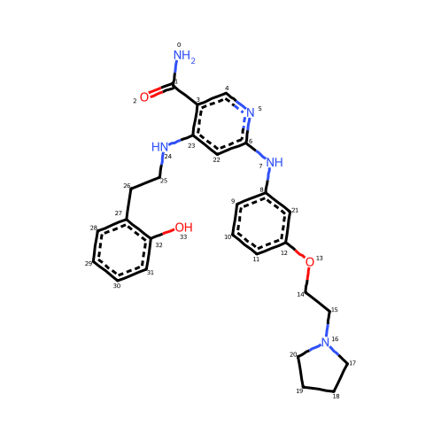 NC(=O)c1cnc(Nc2cccc(OCCN3CCCC3)c2)cc1NCCc1ccccc1O